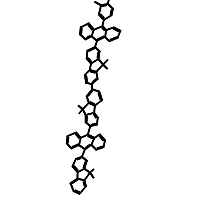 COc1ccc(-c2c3ccccc3c(-c3ccc4c(c3)C(C)(C)c3cc(-c5ccc6c(c5)C(C)(C)c5cc(-c7c8ccccc8c(-c8ccc9c(c8)C(C)(C)c8ccccc8-9)c8ccccc78)ccc5-6)ccc3-4)c3ccccc23)cc1C